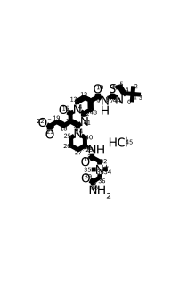 CC(C)(C)c1csc(NC(=O)c2ccn3c(=O)c(C=CC(=O)[O-])c(N4CCC[C@H](NC(=O)C[N+](C)(C)CC(N)=O)C4)nc3c2)n1.Cl